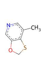 Cc1cncc2c1SCO2